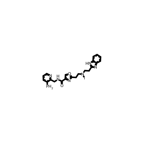 O=C(NCc1ncccc1P)c1coc(CCN(I)CCc2nc3ccccc3[nH]2)n1